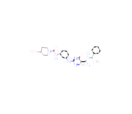 C=C(/N=C\C(C(N)=O)=C(/N)N[C@H](C)c1ccccc1)Nc1cccc(NC(=O)N2CCC(O)CC2)c1